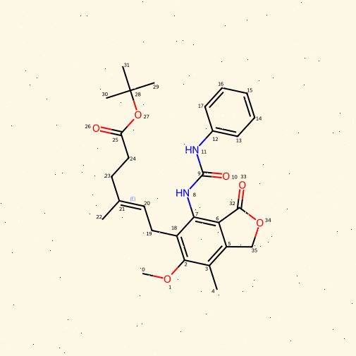 COc1c(C)c2c(c(NC(=O)Nc3ccccc3)c1C/C=C(\C)CCC(=O)OC(C)(C)C)C(=O)OC2